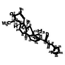 CN1C(=O)C(F)=C[C@]2(C)[C@H]3CC[C@]4(C)[C@@H](C(=O)NCc5cscn5)CC[C@H]4[C@@H]3CC[C@@H]12